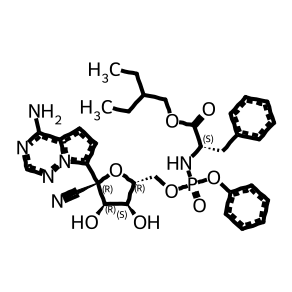 CCC(CC)COC(=O)[C@H](Cc1ccccc1)NP(=O)(OC[C@H]1O[C@@](C#N)(c2ccc3c(N)ncnn23)[C@H](O)[C@@H]1O)Oc1ccccc1